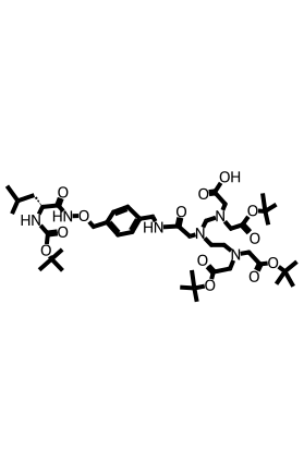 CC(C)C[C@@H](NC(=O)OC(C)(C)C)C(=O)NOCc1ccc(CNC(=O)CN(CCN(CC(=O)OC(C)(C)C)CC(=O)OC(C)(C)C)CN(CC(=O)O)CC(=O)OC(C)(C)C)cc1